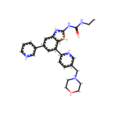 CCNC(=O)Nc1nc2cc(-c3cccnc3)cc(-c3ccc(CN4CCOCC4)cn3)c2s1